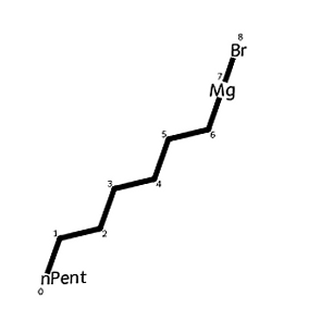 CCCCCCCCCC[CH2][Mg][Br]